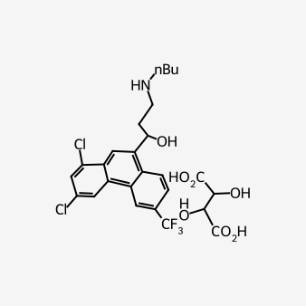 CCCCNCCC(O)c1cc2c(Cl)cc(Cl)cc2c2cc(C(F)(F)F)ccc12.O=C(O)C(O)C(O)C(=O)O